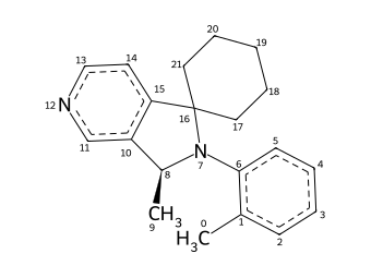 Cc1ccccc1N1[C@@H](C)c2cnccc2C12CCCCC2